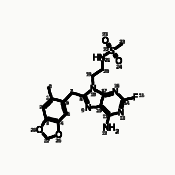 Cc1cc2c(cc1Cc1nc3c(N)nc(F)nc3n1CCNS(C)(=O)=O)OCO2